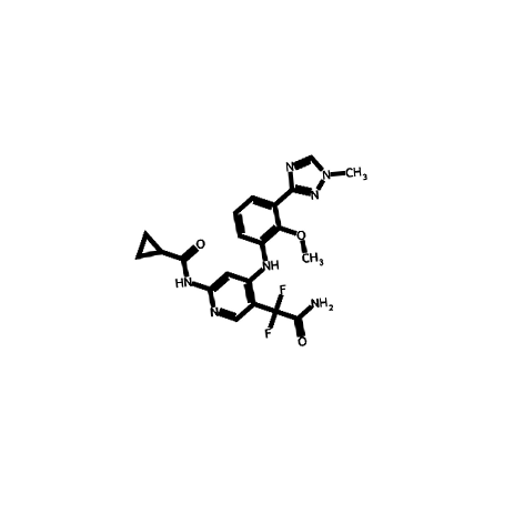 COc1c(Nc2cc(NC(=O)C3CC3)ncc2C(F)(F)C(N)=O)cccc1-c1ncn(C)n1